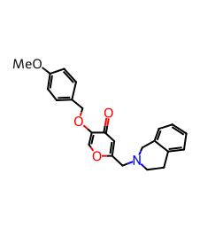 COc1ccc(COc2coc(CN3CCc4ccccc4C3)cc2=O)cc1